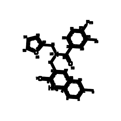 Cc1ccc2[nH]c(=O)c(CN(Cc3ccco3)C(=O)c3ccc(F)c(C)c3)cc2c1